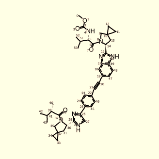 COC(=O)N[C@H](C(=O)N1CC2(CC2)C[C@H]1c1nc2cc(C#Cc3ccc(-c4c[nH]c([C@@H]5CC6(CC6)CN5C(=O)[C@@H](C)C(C)C)n4)cc3)ccc2[nH]1)C(C)C